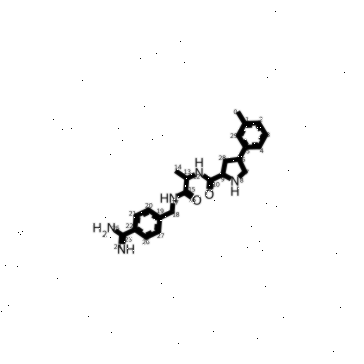 Cc1cccc(C2CNC(C(=O)NC(C)C(=O)NCc3ccc(C(=N)N)cc3)C2)c1